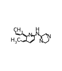 C\C=C/C=c1/nc(NC2=NCCN=C2)cc/c1=C/C